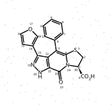 O=C(O)[C@@H]1CSc2c(-c3ccccc3)c3c(-c4ccoc4)n[nH]c3c(=O)n21